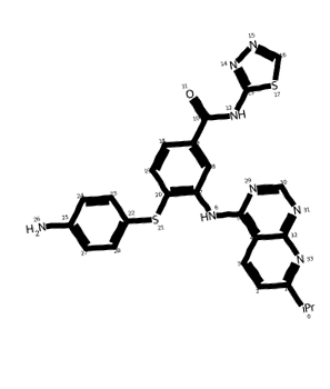 CC(C)c1ccc2c(Nc3cc(C(=O)Nc4nncs4)ccc3Sc3ccc(N)cc3)ncnc2n1